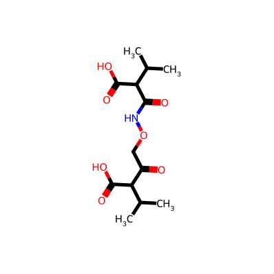 CC(C)C(C(=O)O)C(=O)CONC(=O)C(C(=O)O)C(C)C